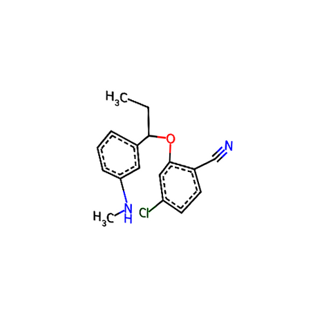 CCC(Oc1cc(Cl)ccc1C#N)c1cccc(NC)c1